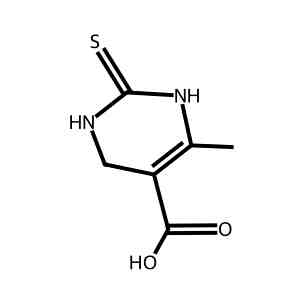 CC1=C(C(=O)O)CNC(=S)N1